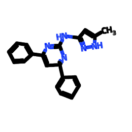 Cc1cc(Nc2nc(-c3ccccc3)cc(-c3ccccc3)n2)n[nH]1